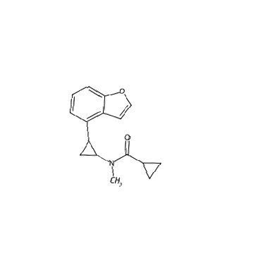 CN(C(=O)C1CC1)C1CC1c1cccc2occc12